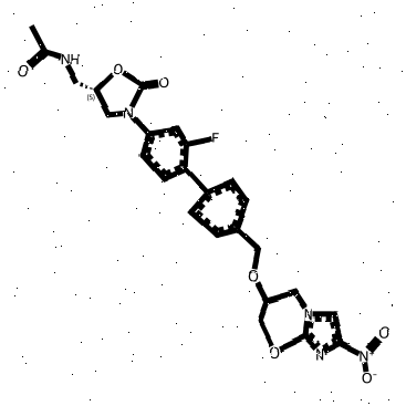 CC(=O)NC[C@H]1CN(c2ccc(-c3ccc(COC4COc5nc([N+](=O)[O-])cn5C4)cc3)c(F)c2)C(=O)O1